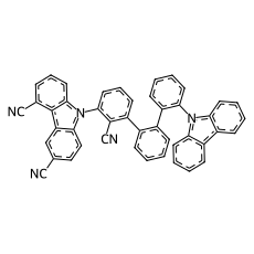 N#Cc1ccc2c(c1)c1c(C#N)cccc1n2-c1cccc(-c2ccccc2-c2ccccc2-n2c3ccccc3c3ccccc32)c1C#N